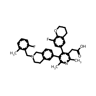 Cc1cccc(F)c1CN1CCc2cc(-c3c(C)nc(C)c(CC(=O)O)c3-c3cc(F)c4c(c3)CCCO4)ccc2C1